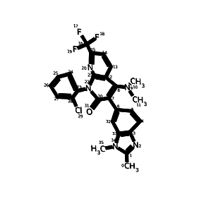 Cc1nc2ccc(-c3c(N(C)C)c4ccc(C(F)(F)F)nc4n(-c4ccccc4Cl)c3=O)cc2n1C